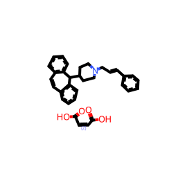 C(=Cc1ccccc1)CN1CCC(C2c3ccccc3C=Cc3ccccc32)CC1.O=C(O)/C=C\C(=O)O